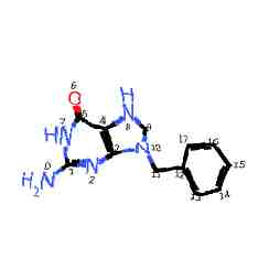 Nc1nc2c(c(=O)[nH]1)NCN2Cc1ccccc1